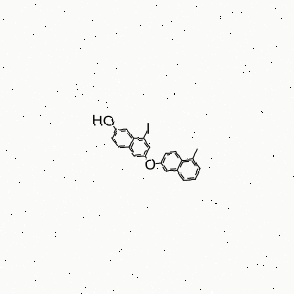 Cc1cccc2cc(Oc3cc(I)c4cc(O)ccc4c3)ccc12